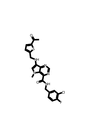 CC(=O)c1ccc(CNc2cn(C)c3c(C(=O)NCc4ccc(F)c(Cl)c4)ncnc23)s1